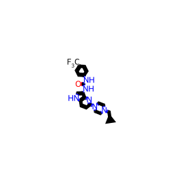 O=C(Nc1ccc(C(F)(F)F)cc1)Nc1c[nH]c2ccc(N3CCN(CC4CC4)CC3)nc12